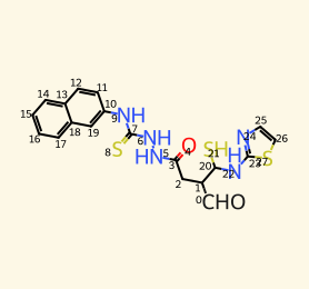 O=CC(CC(=O)NNC(=S)Nc1ccc2ccccc2c1)C(S)Nc1nccs1